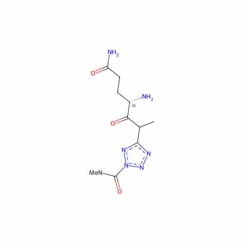 CNC(=O)n1nnc([C](C)C(=O)[C@@H](N)CCC(N)=O)n1